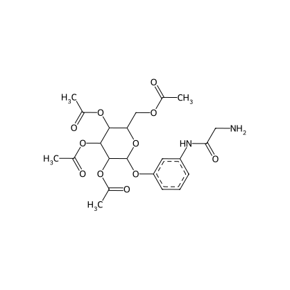 CC(=O)OCC1OC(Oc2cccc(NC(=O)CN)c2)C(OC(C)=O)C(OC(C)=O)C1OC(C)=O